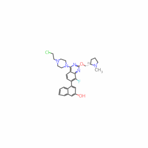 CN1CCC[C@H]1COc1nc(N2CCN(CCCl)CC2)c2ccc(-c3cc(O)cc4ccccc34)c(F)c2n1